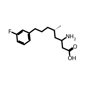 C[C@@H](CCCc1cccc(F)c1)CC(N)CC(=O)O